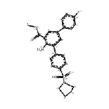 CNC(=O)c1cc(-c2ccc(F)cc2)cc(-c2ccc(S(=O)(=O)N3CCCC3)cc2)c1N